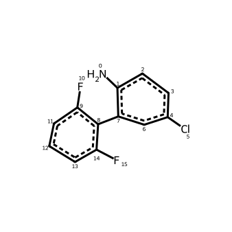 Nc1ccc(Cl)cc1-c1c(F)cccc1F